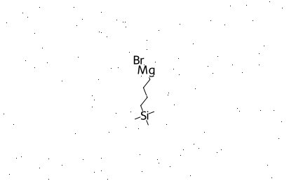 C[Si](C)(C)CCC[CH2][Mg][Br]